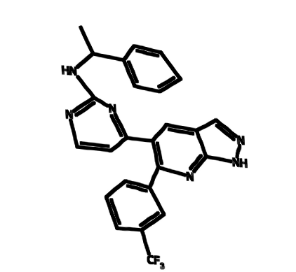 CC(Nc1nccc(-c2cc3cn[nH]c3nc2-c2cccc(C(F)(F)F)c2)n1)c1ccccc1